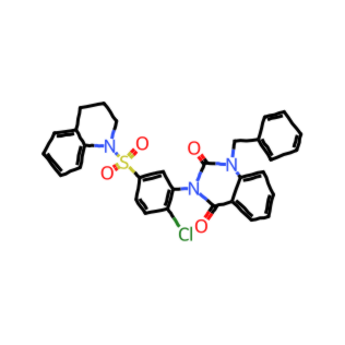 O=c1c2ccccc2n(Cc2ccccc2)c(=O)n1-c1cc(S(=O)(=O)N2CCCc3ccccc32)ccc1Cl